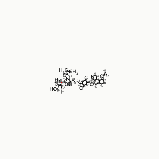 CN(C)C(=O)CN(C[C@H](O)[C@@H](O)[C@H](O)[C@H](O)CO)C(=O)CCCCc1cc(Cl)c(COC2(c3cnccc3-c3ccccc3OC3CC3)CC2)cc1Cl